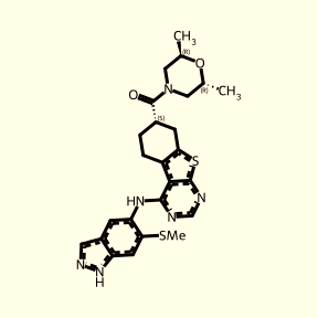 CSc1cc2[nH]ncc2cc1Nc1ncnc2sc3c(c12)CC[C@H](C(=O)N1C[C@@H](C)O[C@H](C)C1)C3